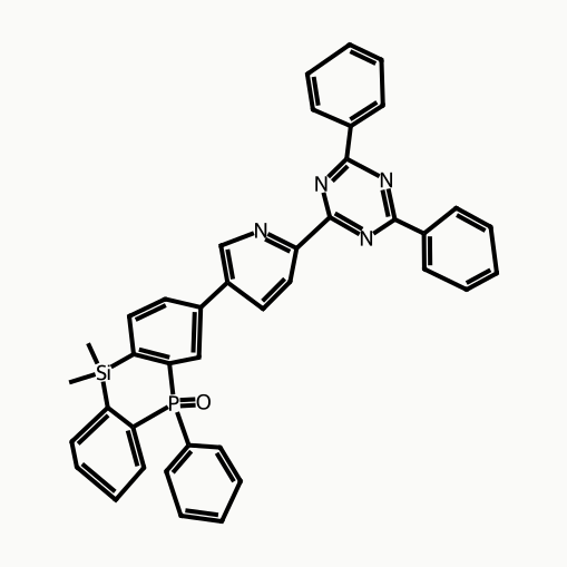 C[Si]1(C)c2ccccc2P(=O)(c2ccccc2)c2cc(-c3ccc(-c4nc(-c5ccccc5)nc(-c5ccccc5)n4)nc3)ccc21